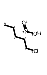 CCCCCCl.O=NO